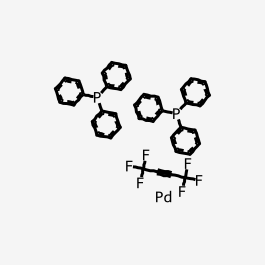 FC(F)(F)C#CC(F)(F)F.[Pd].c1ccc(P(c2ccccc2)c2ccccc2)cc1.c1ccc(P(c2ccccc2)c2ccccc2)cc1